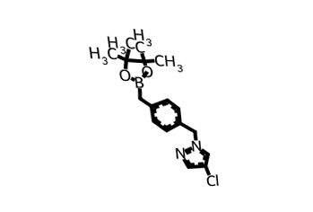 CC1(C)OB(Cc2ccc(Cn3cc(Cl)cn3)cc2)OC1(C)C